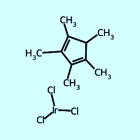 CC1=C(C)C(C)C(C)=C1C.[Cl][Ir]([Cl])[Cl]